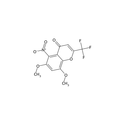 COc1cc(OC)c2oc(C(F)(F)F)cc(=O)c2c1[N+](=O)[O-]